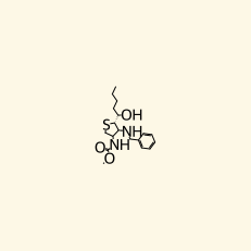 CCCCC(O)[C@H]1SC[C@H](NC(=O)OC)[C@@H]1NCc1ccccc1